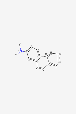 CN(C)c1ccc2c(ccc3ccccc32)c1